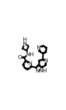 O=C(NC1CNC1)c1cccc(-c2n[nH]c3cnc(-c4cccnc4)cc23)n1